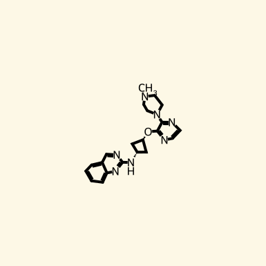 CN1CCN(c2nccnc2O[C@H]2C[C@@H](Nc3ncc4ccccc4n3)C2)CC1